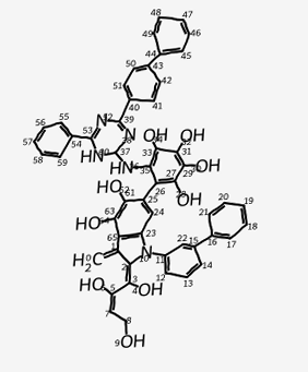 C=c1/c(=C(O)\C(O)=C/CO)n(-c2cccc(-c3ccccc3)c2)c2cc(-c3c(O)c(O)c(O)c(O)c3NC3N=C(c4ccc(-c5ccccc5)cc4)N=C(c4ccccc4)N3)c(O)c(O)c12